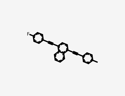 Cc1ccc(C#Cc2ccc(C#Cc3ccc(F)cc3)c3ccccc23)cc1